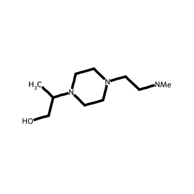 CNCCN1CCN(C(C)CO)CC1